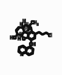 CN1CC[C@]23c4c5c(CCCCl)cc(O)c4O[C@H]2[C@@H](O)C=C[C@H]3[C@H]1C5.c1ccc2ncccc2c1